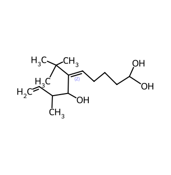 C=CC(C)C(O)/C(=C\CCCC(O)O)C(C)(C)C